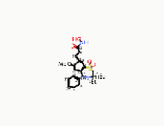 CCCC[C@]1(CC)CS(=O)(=O)c2cc(CCC(=O)NO)c(OC)cc2[C@@H](C2=CC=CCC2)N1